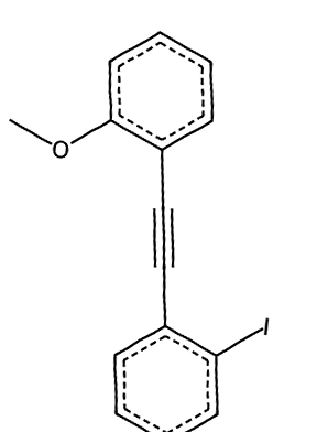 COc1ccccc1C#Cc1ccccc1I